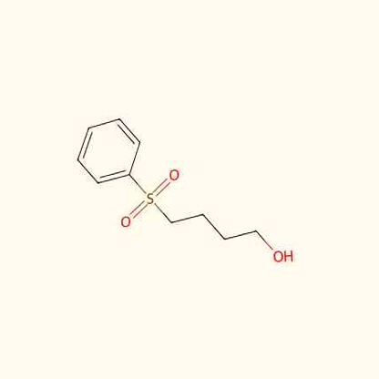 O=S(=O)(CCCCO)c1ccccc1